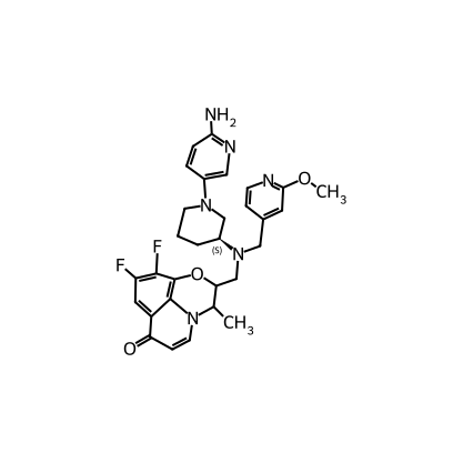 COc1cc(CN(CC2Oc3c(F)c(F)cc4c(=O)ccn(c34)C2C)[C@H]2CCCN(c3ccc(N)nc3)C2)ccn1